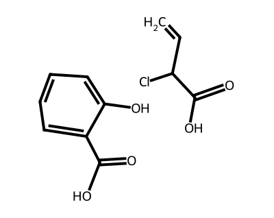 C=CC(Cl)C(=O)O.O=C(O)c1ccccc1O